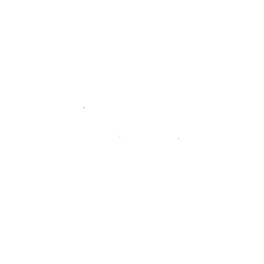 CCCCOC(=O)N(CC)CCCO